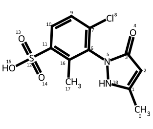 Cc1cc(=O)n(-c2c(Cl)ccc(S(=O)(=O)O)c2C)[nH]1